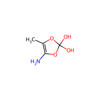 CC1=C(N)OC(O)(O)O1